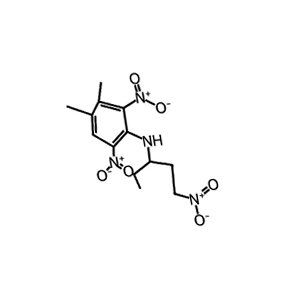 CCC(CC[N+](=O)[O-])Nc1c([N+](=O)[O-])cc(C)c(C)c1[N+](=O)[O-]